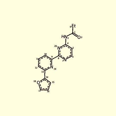 CCC(=O)Nc1ccnc(-c2cccc(-c3ccco3)n2)n1